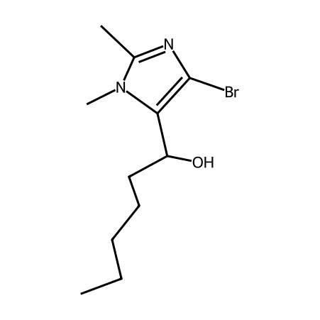 CCCCCC(O)c1c(Br)nc(C)n1C